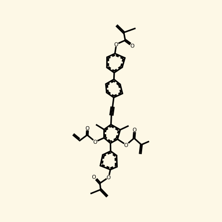 C=CC(=O)Oc1c(C)c(C#Cc2ccc(-c3ccc(OC(=O)C(=C)C)cc3)cc2)c(C)c(OC(=O)C(=C)C)c1-c1ccc(OC(=O)C(=C)C)cc1